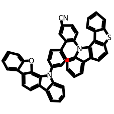 N#Cc1ccc(-n2c3ccccc3c3ccc4sc5ccccc5c4c32)c(-c2ccc(-n3c4ccccc4c4ccc5c6ccccc6oc5c43)cc2)c1